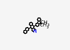 CC1(C)c2ccccc2-c2cc(-c3c4ccccc4c(-c4ccc5ccccc5c4)c4ccncc34)ccc21